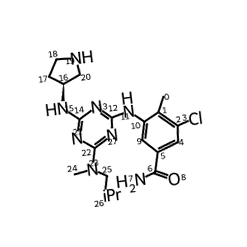 Cc1c(Cl)cc(C(N)=O)cc1Nc1nc(N[C@H]2CCNC2)nc(N(C)CC(C)C)n1